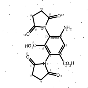 Nc1cc(C(=O)O)c(N2C(=O)CCC2=O)c(C(=O)O)c1N1C(=O)CCC1=O